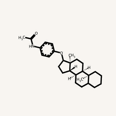 CC(=O)Nc1ccc(OC2CC[C@H]3[C@@H]4CCC5CCCC[C@]5(C)[C@@H]4CC[C@]23C)cc1